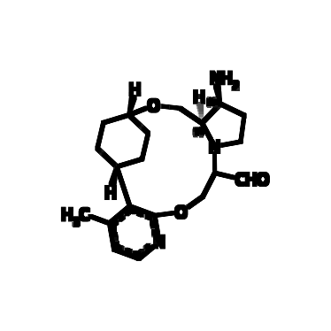 Cc1ccnc2c1[C@H]1CC[C@H](CC1)OC[C@H]1[C@@H](N)CCN1C(C=O)CO2